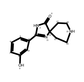 O=C1NC(c2cccc(O)c2)=NC12CCNCC2